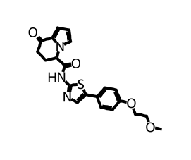 COCCOc1ccc(-c2cnc(NC(=O)C3CCC(=O)c4cccn43)s2)cc1